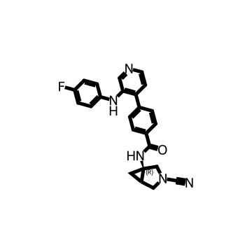 N#CN1CC2C[C@]2(NC(=O)c2ccc(-c3ccncc3Nc3ccc(F)cc3)cc2)C1